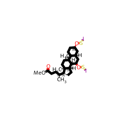 COC(=O)CC[C@@H](C)[C@H]1CC[C@H]2[C@@H]3C(OSI)C[C@@H]4C[C@H](OSI)CC[C@]4(C)[C@H]3CC[C@]12C